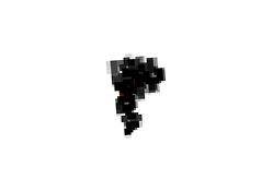 Cc1csc(-c2ccc(-c3cnn4c(N)c(S(C)(=O)=O)c([C@H]5C[C@H]6CC[C@@H](C5)N6C(=O)c5nnc(C)[nH]5)nc34)cn2)n1